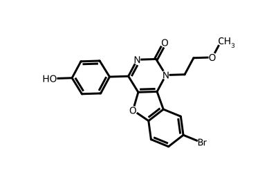 COCCn1c(=O)nc(-c2ccc(O)cc2)c2oc3ccc(Br)cc3c21